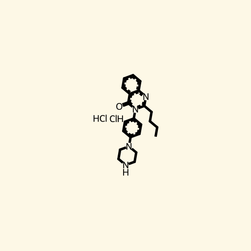 CCCCc1nc2ccccc2c(=O)n1-c1ccc(N2CCNCC2)cc1.Cl.Cl